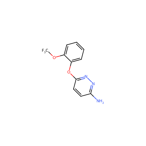 Nc1ccc(Oc2ccccc2OC(F)(F)F)nn1